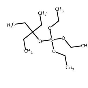 [CH2]CC(CC)(CC)O[Si](OCC)(OCC)OCC